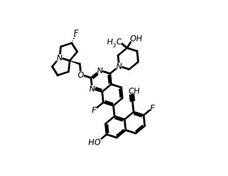 C#Cc1c(F)ccc2cc(O)cc(-c3ccc4c(N5CCCC(C)(O)C5)nc(OC[C@@]56CCCN5C[C@H](F)C6)nc4c3F)c12